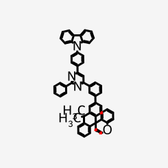 CC1(C)c2ccccc2C2(c3ccccc3Oc3ccccc32)c2ccc(-c3cccc(-c4cc(-c5ccc(-n6c7ccccc7c7ccccc76)cc5)nc(-c5ccccc5)n4)c3)cc21